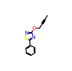 CC#CCOc1nsc(-c2ccccc2)n1